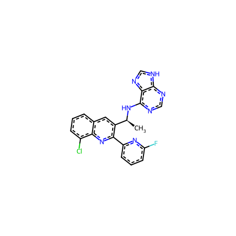 C[C@H](Nc1ncnc2[nH]cnc12)c1cc2cccc(Cl)c2nc1-c1cccc(F)n1